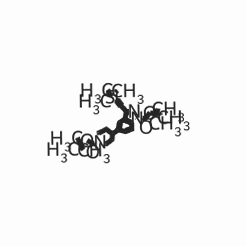 CC(C)(C)OC(=O)N1CCC(c2ccc3c(c2)c(C#C[Si](C)(C)C)nn3C(=O)OC(C)(C)C)CC1